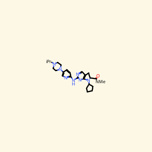 CNC(=O)C1Cc2cnc(Nc3ccc(N4CCN(C(C)C)CC4)cn3)nc2N1C1CCCC1